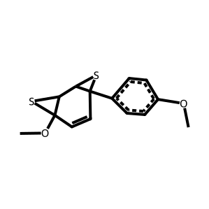 COc1ccc(C23C=CC4(OC)SC4C2S3)cc1